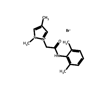 Cc1cn(C)[n+](CC(=O)Nc2c(C)cccc2C)c1.[Br-]